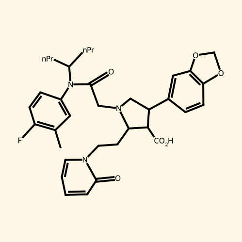 CCCC(CCC)N(C(=O)CN1CC(c2ccc3c(c2)OCO3)C(C(=O)O)C1CCn1ccccc1=O)c1ccc(F)c(C)c1